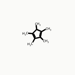 C[C]1C(C)=C(C)C(C)=C1C